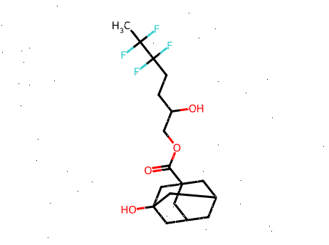 CC(F)(F)C(F)(F)CCC(O)COC(=O)C12CC3CC(CC(O)(C3)C1)C2